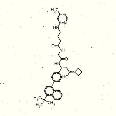 Cc1ccnc(NCCCC(=O)NCC(=O)NC(CC(O)=C2CCC2)c2ccc(-c3ccc(C(C)(C)C)c4ccccc34)cc2)c1